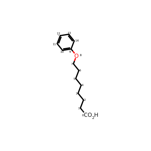 O=C(O)CCCCCCCOc1cc[c]cc1